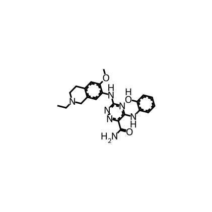 CCN1CCc2cc(OC)c(Nc3nnc(C(N)=O)c(Nc4ccccc4O)n3)cc2C1